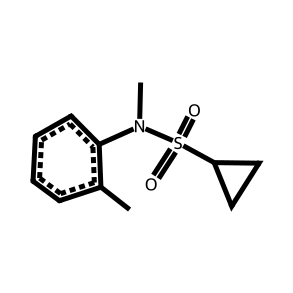 Cc1ccccc1N(C)S(=O)(=O)C1CC1